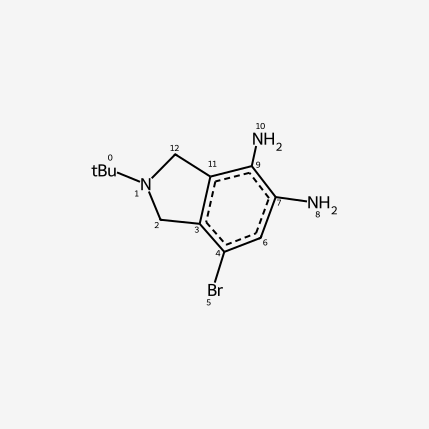 CC(C)(C)N1Cc2c(Br)cc(N)c(N)c2C1